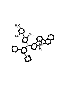 Cc1ccc(-c2ccc(N(c3cc(-c4ccccc4)cc(-c4ccccc4)c3)c3ccc(C)c(-c4cccc5c4[nH]c4ccc6ccccc6c45)c3)cc2C)c(C)c1